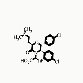 CCC[C@@H](C(=O)O)N1C(=O)[C@@H](CCN(C)C)O[C@H](c2ccc(Cl)cc2)[C@@H]1c1ccc(Cl)cc1